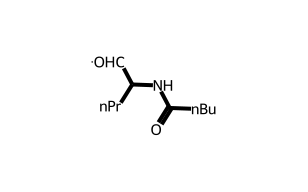 CCCCC(=O)NC([C]=O)CCC